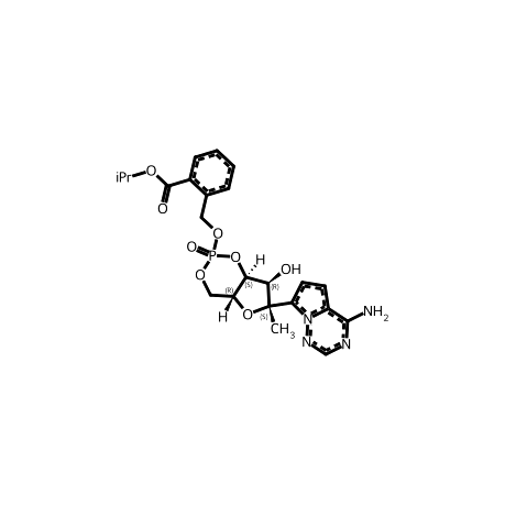 CC(C)OC(=O)c1ccccc1COP1(=O)OC[C@H]2O[C@@](C)(c3ccc4c(N)ncnn34)[C@H](O)[C@@H]2O1